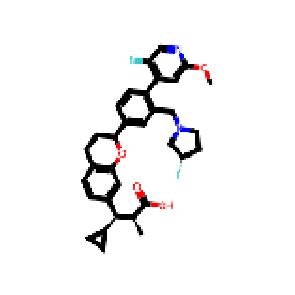 COc1cc(-c2ccc(C3CCc4ccc([C@H](C5CC5)[C@H](C)C(=O)O)cc4O3)cc2CN2CC[C@H](F)C2)c(F)cn1